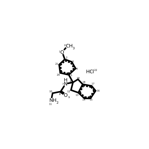 COc1ccc(C2(NC(=O)CN)Cc3ccccc3C2)cc1.Cl